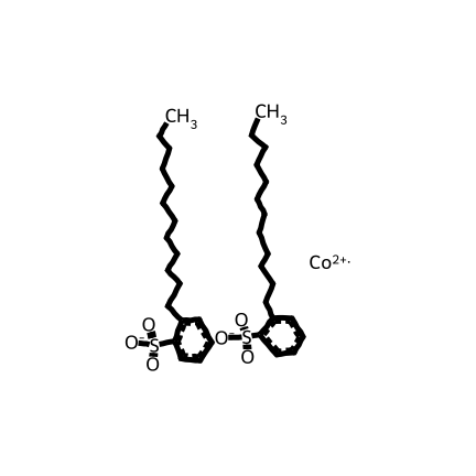 CCCCCCCCCCCCc1ccccc1S(=O)(=O)[O-].CCCCCCCCCCCCc1ccccc1S(=O)(=O)[O-].[Co+2]